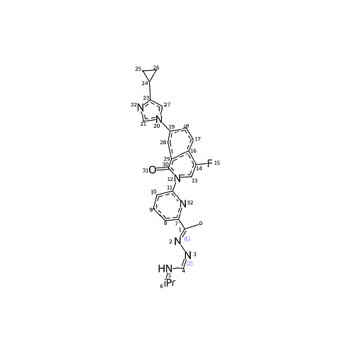 C/C(=N\N=C/NC(C)C)c1cccc(-n2cc(F)c3ccc(-n4cnc(C5CC5)c4)cc3c2=O)n1